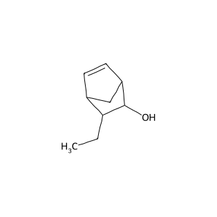 CCC1C2C=CC(C2)C1O